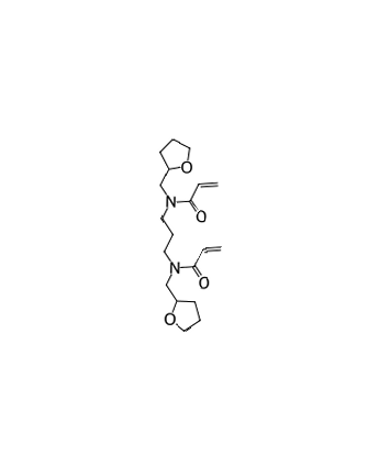 C=CC(=O)N(CCCN(CC1CCCO1)C(=O)C=C)CC1CCCO1